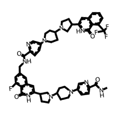 CNC(=O)c1ccc(N2CCC(N3CCC(c4cc5cc(CNC(=O)c6ccc(N7CCC(N8CCC(c9cc%10cccc(C(F)(F)F)c%10c(=O)[nH]9)C8)CC7)cn6)cc(F)c5c(=O)[nH]4)C3)CC2)cn1